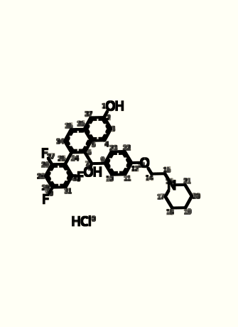 Cl.Oc1ccc2c(C(O)c3ccc(OCCN4CCCCC4)cc3)c(-c3c(F)cc(F)cc3F)ccc2c1